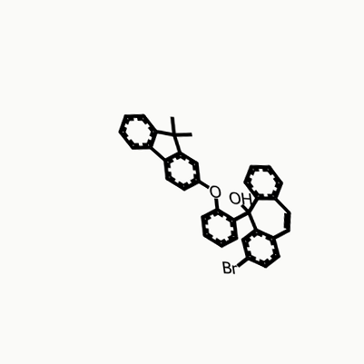 CC1(C)c2ccccc2-c2ccc(Oc3ccccc3C3(O)c4ccccc4C=Cc4ccc(Br)cc43)cc21